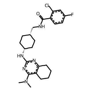 CN(C)c1nc(N[C@H]2CC[C@@H](CNC(=O)c3ccc(F)cc3Cl)CC2)nc2c1CCCC2